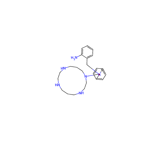 Nc1ccccc1CN1Cc2ccc(cc2)C1N1CCCNCCNCCCNCC1